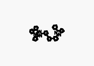 c1ccc(-c2nc(-c3cccc(-c4cccc(-c5cccc(-c6nc(-c7ccccc7)c7c(n6)c6ccccc6n7-c6ccccc6)c5)c4)c3)nc3ccccc23)cc1